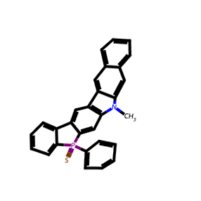 Cn1c2cc3c(cc2c2cc4ccccc4cc21)-c1ccccc1P3(=S)c1ccccc1